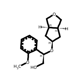 COc1ccccc1[C@H](CO)O[C@H]1C[C@H]2COC[C@H]2C1